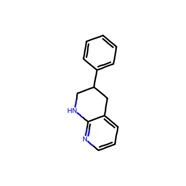 c1ccc(C2CNc3ncccc3C2)cc1